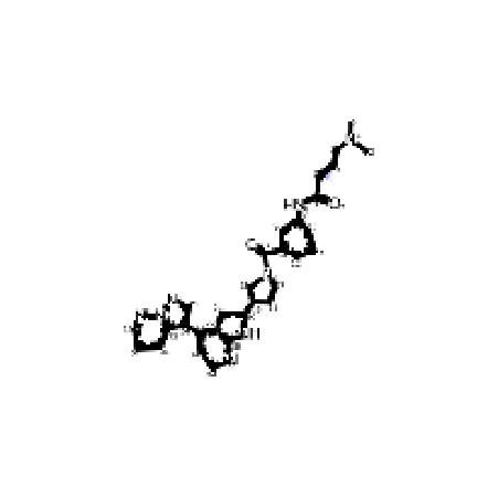 CN(C)C/C=C/C(=O)Nc1cccc(C(=O)N2CCC(c3cc4c(-c5cnn6ncccc56)ccnc4[nH]3)C2)c1